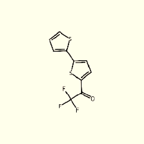 O=C(c1ccc(-c2cccs2)s1)C(F)(F)F